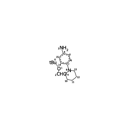 CC(C)(C)OC=O.Nc1ccc(N2CCCCC2)cc1